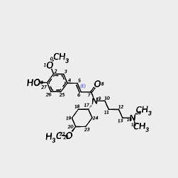 COc1cc(/C=C/C(=O)N(CCCCN(C)C)[C@H]2CC[C@H](OC)CC2)ccc1O